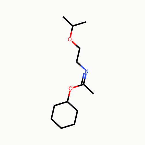 C/C(=N/CCOC(C)C)OC1CCCCC1